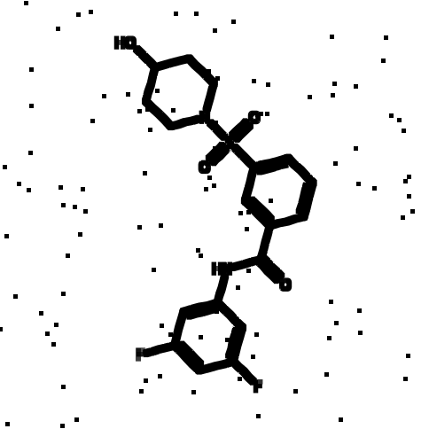 O=C(Nc1cc(F)cc(F)c1)c1cccc(S(=O)(=O)N2CCC(O)CC2)c1